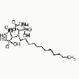 CCCCCCCCCCCCN(C(P(=O)(O)O)P(=O)(O)O)C(P(=O)(O)O)P(=O)(O)O